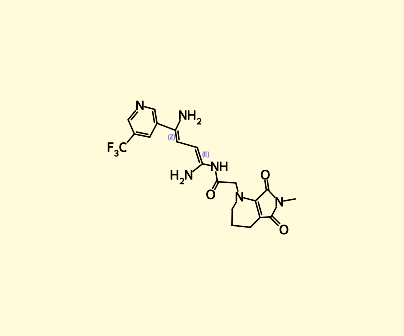 CN1C(=O)C2=C(C1=O)N(CC(=O)N/C(N)=C/C=C(\N)c1cncc(C(F)(F)F)c1)CCC2